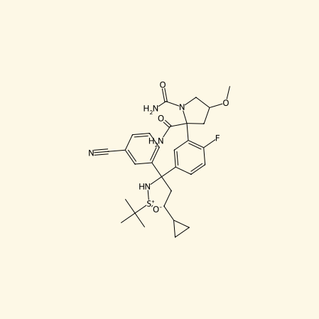 COC1CN(C(N)=O)C(C(N)=O)(c2cc(C(CCC3CC3)(N[S@+]([O-])C(C)(C)C)c3cccc(C#N)c3)ccc2F)C1